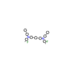 Cc1ccc(N(c2ccc(-c3ccccc3)cc2)c2ccc(-c3ccc(-c4ccc(N(c5ccc(-c6ccccc6)cc5)c5ccc(C)c(F)c5)cc4)cc3)cc2)cc1F